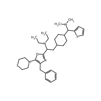 CCN(CC)C(CC1CCC(C(c2cccs2)N(C)C)CC1)c1nc(Cc2ccccc2)c(N2CCSCC2)o1